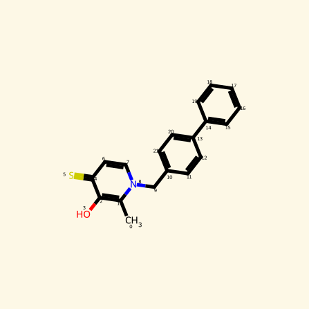 Cc1c(O)c(=S)ccn1Cc1ccc(-c2ccccc2)cc1